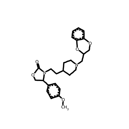 COc1ccc(C2COC(=O)N2CCC2CCN(CC3COc4ccccc4O3)CC2)cc1